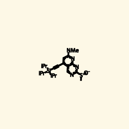 CNc1cc(C#C[Si](C(C)C)(C(C)C)C(C)C)c2cnc([S+](C)[O-])nc2n1